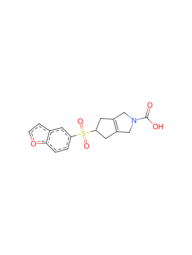 O=C(O)N1CC2=C(CC(S(=O)(=O)c3ccc4occc4c3)C2)C1